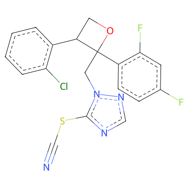 N#CSc1ncnn1CC1(c2ccc(F)cc2F)OCC1c1ccccc1Cl